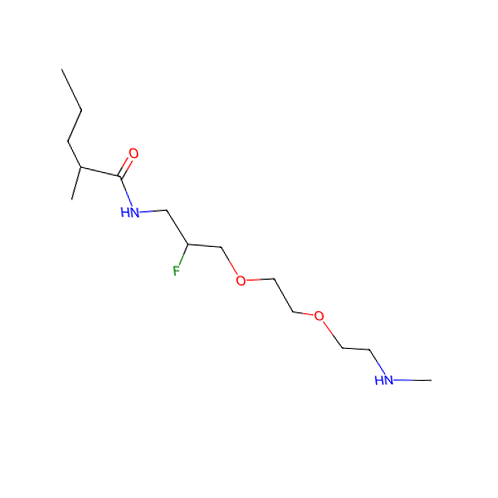 CCCC(C)C(=O)NCC(F)COCCOCCNC